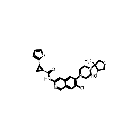 C[C@@]1(N2CCN(c3cc4cc(NC(=O)[C@H]5C[C@@H]5c5ccco5)ncc4cc3Cl)CC2)COC[C@@H]1O